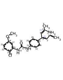 C=C/C=C(\C=C(\C)N)c1ccc(NC(=O)Nc2cc(OC)ccc2Cl)cc1